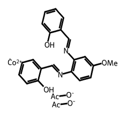 CC(=O)[O-].CC(=O)[O-].COc1ccc(N=Cc2ccccc2O)c(N=Cc2ccccc2O)c1.[Co+2]